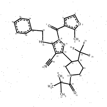 Cc1occc1C(=O)n1nc(C2CN(C(=O)C(C)(C)C)CCC2C(F)(F)F)c(C#N)c1NCc1ccccc1